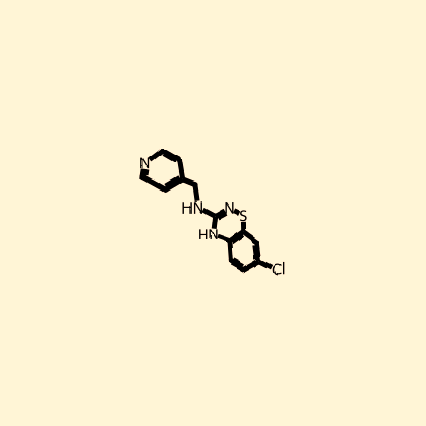 Clc1ccc2c(c1)SN=C(NCc1ccncc1)N2